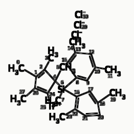 CC1=C(C)C(C)([Si](C)(c2cc(C)cc(C)c2)c2cc(C)ccc2C)[C]([Ti+3])=C1C.[Cl-].[Cl-].[Cl-]